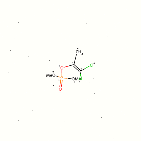 COP(=O)(OC)OC(C)=C(Cl)Cl